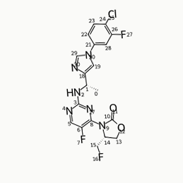 C[C@H](Nc1ncc(F)c(N2C(=O)OC[C@@H]2CF)n1)c1cn(-c2ccc(Cl)c(F)c2)cn1